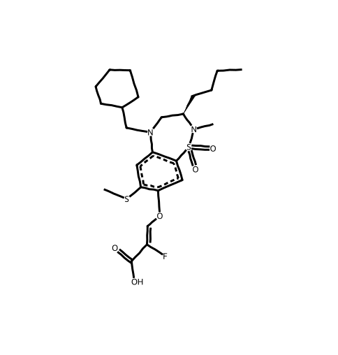 CCCC[C@@H]1CN(CC2CCCCC2)c2cc(SC)c(O/C=C(\F)C(=O)O)cc2S(=O)(=O)N1C